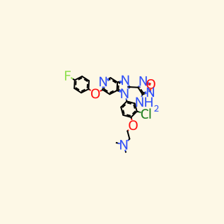 CN(C)CCOc1ccc(-n2c(-c3nonc3N)nc3cnc(Oc4ccc(F)cc4)cc32)cc1Cl